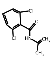 C=C(C)NC(=O)c1c(Cl)cccc1Cl